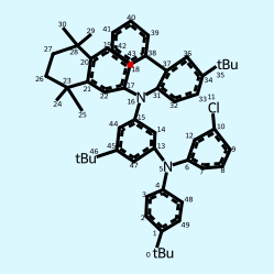 CC(C)(C)c1ccc(N(c2cccc(Cl)c2)c2cc(N(c3ccc4c(c3)C(C)(C)CCC4(C)C)c3ccc(C(C)(C)C)cc3-c3ccccc3)cc(C(C)(C)C)c2)cc1